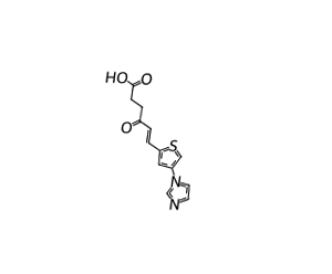 O=C(O)CCC(=O)C=Cc1cc(-n2ccnc2)cs1